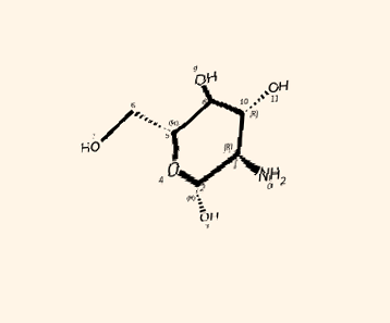 N[C@H]1[C@H](O)O[C@H](CO)C(O)[C@@H]1O